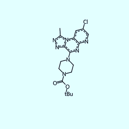 Cc1nnc2c(N3CCN(C(=O)OC(C)(C)C)CC3)nc3ncc(Cl)cc3n12